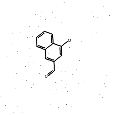 O=Cc1cc(Cl)c2ccccc2c1